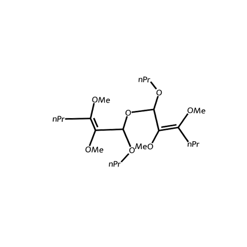 CCCOC(OC(OCCC)C(OC)=C(CCC)OC)C(OC)=C(CCC)OC